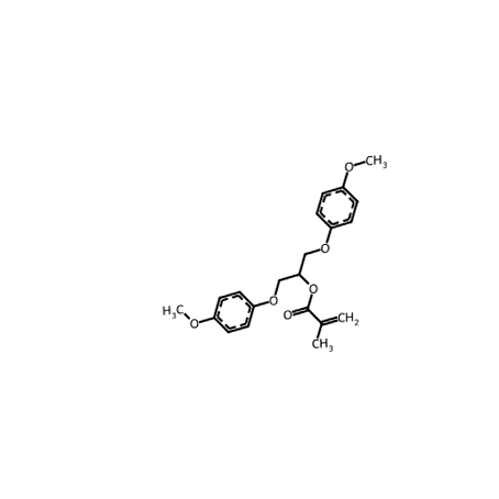 C=C(C)C(=O)OC(COc1ccc(OC)cc1)COc1ccc(OC)cc1